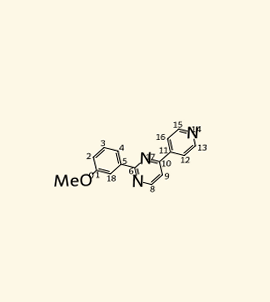 COc1cccc(-c2nccc(-c3ccncc3)n2)c1